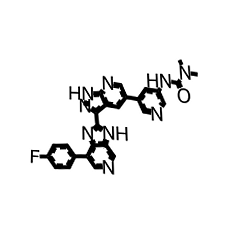 CN(C)C(=O)Nc1cncc(-c2cnc3[nH]nc(-c4nc5c(-c6ccc(F)cc6)cncc5[nH]4)c3c2)c1